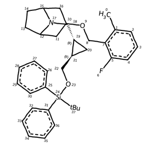 Cc1cccc(F)c1COC1CC2CCC(C1)N2C[C@@H]1C[C@H]1CO[Si](c1ccccc1)(c1ccccc1)C(C)(C)C